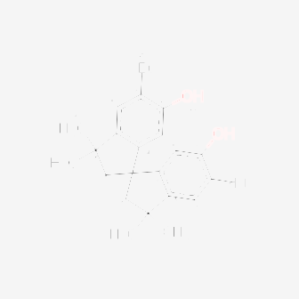 CCc1cc2c(cc1O)C1(CC2(C)C)CC(C)(C)c2cc(CC)c(O)cc21